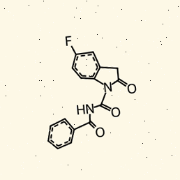 O=C(NC(=O)N1C(=O)Cc2cc(F)ccc21)c1ccccc1